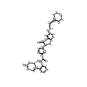 O=C(Nc1cnccc1N1CCNCC1)c1nnc(N2Cc3ccc(OCCN4CCOCC4)cc3C2=O)o1